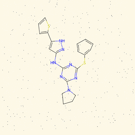 c1ccc(Sc2nc(Nc3cc(-c4cccs4)[nH]n3)nc(N3CCCC3)n2)cc1